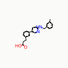 Cc1cccc(CNc2ccc(-c3cccc(CCC(=O)O)c3)cn2)c1